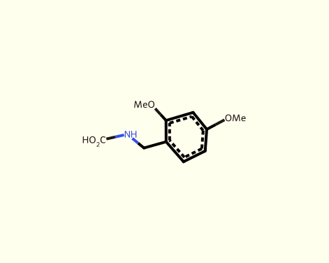 COc1ccc(CNC(=O)O)c(OC)c1